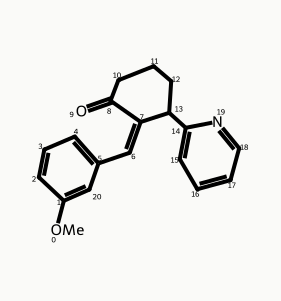 COc1cccc(/C=C2\C(=O)CCCC2c2ccccn2)c1